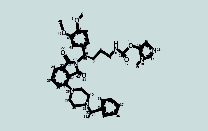 COc1ccc([C@@H](CCCNC(=O)Oc2cncn2C)N2C(=O)c3cccc(N4CCN([C@H](C)c5ccccc5)CC4)c3C2=O)cc1OC